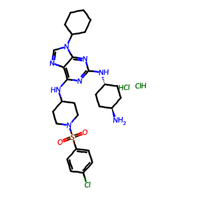 Cl.Cl.N[C@H]1CC[C@H](Nc2nc(NC3CCN(S(=O)(=O)c4ccc(Cl)cc4)CC3)c3ncn(C4CCCCC4)c3n2)CC1